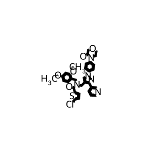 COc1ccc(CN(Cc2cn(-c3ccc(N4CCOCC4=O)cc3)nc2-c2cccnc2)C(=O)c2ccc(Cl)s2)c(OC)c1